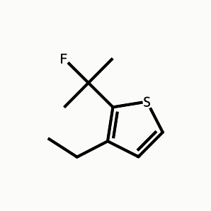 CCc1ccsc1C(C)(C)F